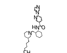 CCCCC[C@H]1CCCN(C[C@@H]2CCCC[C@H]2NC(=O)c2ccc(-n3ccnc3)nc2)C1